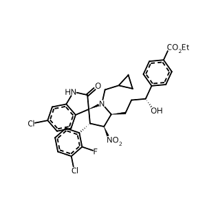 CCOC(=O)c1ccc([C@H](O)CC[C@H]2[C@@H]([N+](=O)[O-])[C@H](c3cccc(Cl)c3F)[C@]3(C(=O)Nc4cc(Cl)ccc43)N2CC2CC2)cc1